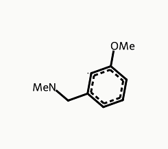 CNCc1[c]c(OC)ccc1